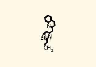 C=C/C=C(CC)/N=C(\C=C/C)Cc1ccc2ccccc2n1